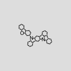 c1ccc2c(c1)oc1cc(-n3c4ccccc4c4cc5c(cc43)c3cccc4c6ccccc6n5c43)ccc12